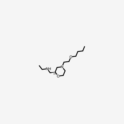 CCCCOCCN1CCO[C@@H](CNCC)C1